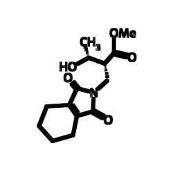 COC(=O)[C@H](CN1C(=O)C2=C(CCCC2)C1=O)[C@@H](C)O